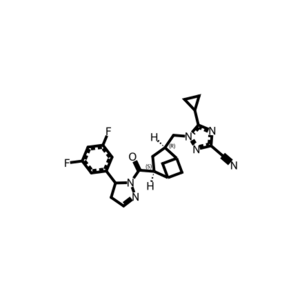 N#Cc1nc(C2CC2)n(C[C@@H]2C[C@H](C(=O)N3N=CCC3c3cc(F)cc(F)c3)C3CC2C3)n1